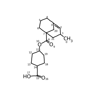 CC1C=C2CCCC(C(=O)OC3CCC(C(=O)O)CC3)(C2)C1